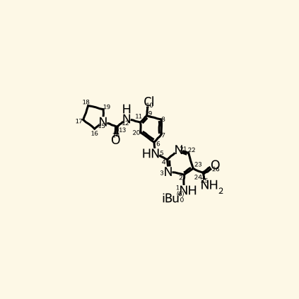 CC[C@H](C)Nc1nc(Nc2ccc(Cl)c(NC(=O)N3CCCC3)c2)ncc1C(N)=O